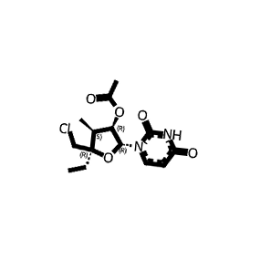 CC[C@@]1(CCl)O[C@@H](n2ccc(=O)[nH]c2=O)[C@H](OC(C)=O)[C@@H]1C